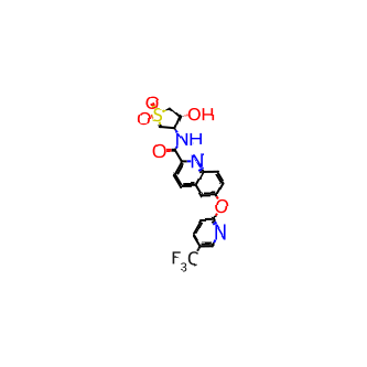 O=C(N[C@H]1CS(=O)(=O)C[C@@H]1O)c1ccc2cc(Oc3ccc(C(F)(F)F)cn3)ccc2n1